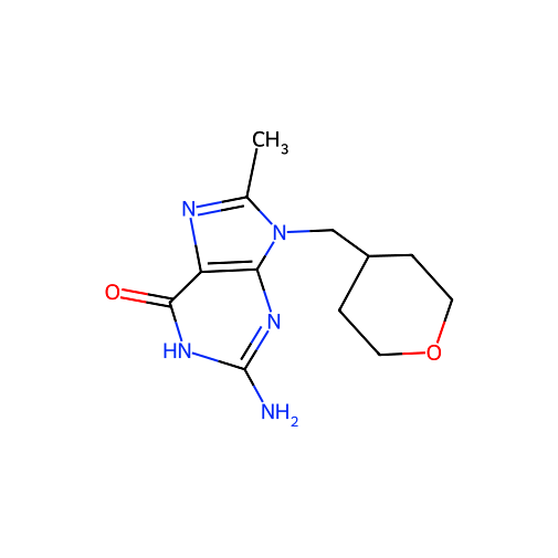 Cc1nc2c(=O)[nH]c(N)nc2n1CC1CCOCC1